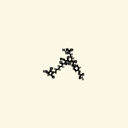 BC(=O)OCc1ccc(NC(=O)[C@H](CCCNC(N)=O)NC(=O)C(NC(=O)CCCCCN2C(=O)CC(S)C2=O)C(C)C)cc1